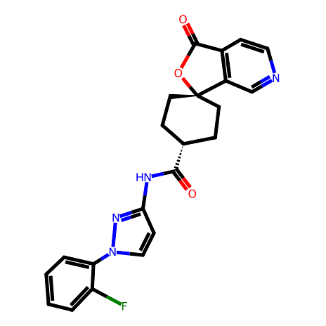 O=C1O[C@]2(CC[C@@H](C(=O)Nc3ccn(-c4ccccc4F)n3)CC2)c2cnccc21